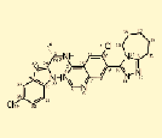 C[C@H](Nc1ncnc2cc(-c3nnc4n3CCCCC4)c(Cl)cc12)c1nc2cc(Cl)ccc2[nH]1